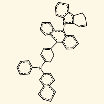 C1=Cc2c(c3ccccc3n2-c2c3ccccc3c(C3=CC=C(N(c4ccccc4)c4ccc5ccccc5c4)CC3)c3ccccc23)CC1